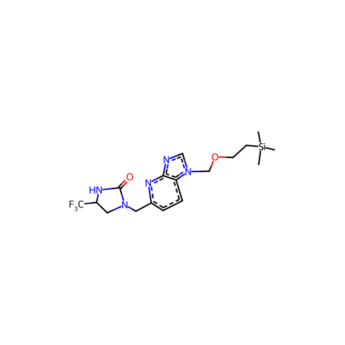 C[Si](C)(C)CCOCn1cnc2nc(CN3CC(C(F)(F)F)NC3=O)ccc21